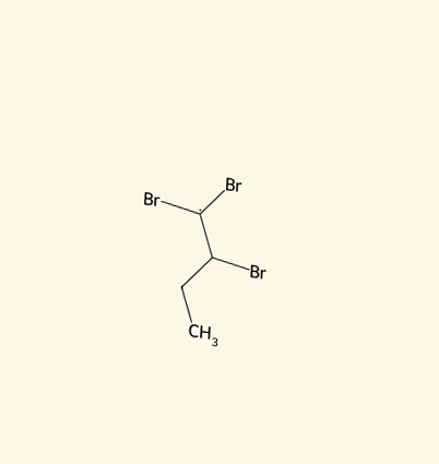 CCC(Br)[C](Br)Br